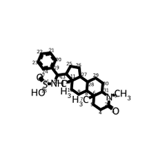 CN1C(=O)CCC2(C)C3CCC4(C)C(C(NS(=O)O)c5ccccc5)CCC4C3CCC12